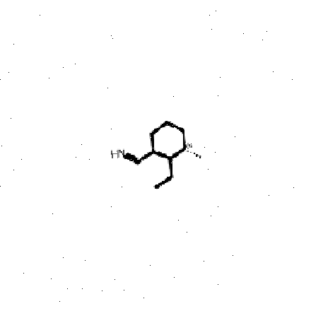 CCC1C(C=N)CCC[C@@H]1C